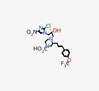 C[C@](O)(CN1CCN(C(=O)O)CC1CC=Cc1ccc(OC(F)(F)F)cc1)Cn1cc([N+](=O)[O-])nc1Cl